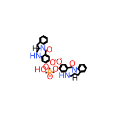 COc1cc2c(cc1OCP(=O)(CO)COc1cc3c(cc1OC)C(=O)N1c4ccccc4C[C@H]1CN3)NC[C@@H]1Cc3ccccc3N1C2=O